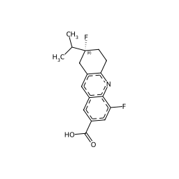 CC(C)[C@@]1(F)CCc2nc3c(F)cc(C(=O)O)cc3cc2C1